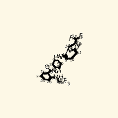 O=C(NC1CCC(Nc2cccc3nc(C(F)F)cn23)CC1)c1ccccc1NCC(F)(F)F